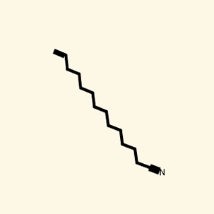 C=CCCCCCCCCCCCC#N